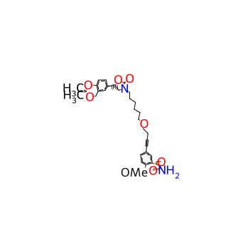 COc1ccc(C#CCCOCCCCCCN2C[C@@H](c3ccc4c(c3)COC(C)(C)O4)OC2=O)cc1S(N)(=O)=O